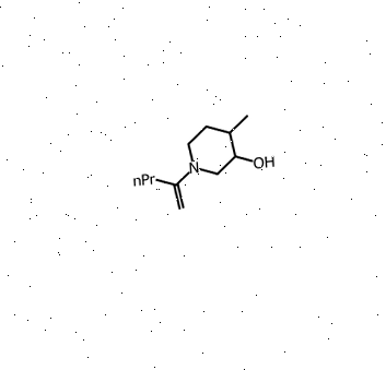 C=C(CCC)N1CCC(C)C(O)C1